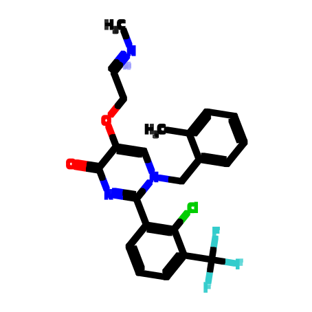 C/N=C/COc1cn(Cc2ccccc2C)c(-c2cccc(C(F)(F)F)c2Cl)nc1=O